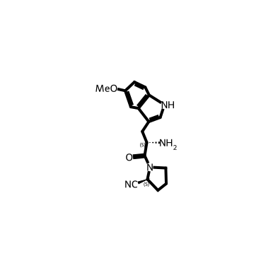 COc1ccc2[nH]cc(C[C@H](N)C(=O)N3CCC[C@H]3C#N)c2c1